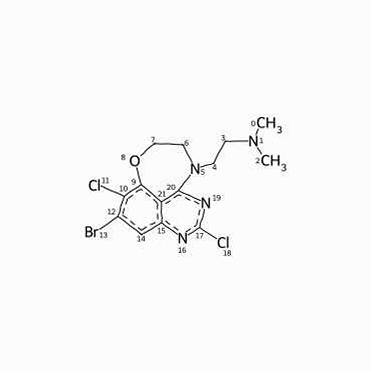 CN(C)CCN1CCOc2c(Cl)c(Br)cc3nc(Cl)nc1c23